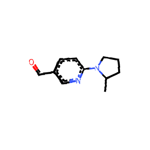 CC1CCCN1c1ccc(C=O)cn1